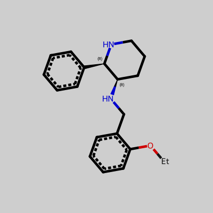 CCOc1ccccc1CN[C@@H]1CCCN[C@@H]1c1ccccc1